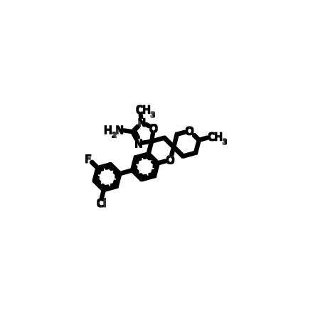 CC1CCC2(CO1)CC1(N=C(N)N(C)O1)c1cc(-c3cc(F)cc(Cl)c3)ccc1O2